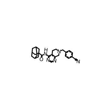 N#Cc1ccc(CN2CCc3c(ncnc3NC(=O)C34CC5CC(CC(C5)C3)C4)C2)cc1